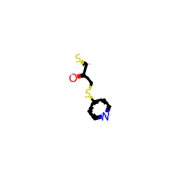 O=C([C]=S)CSc1ccncc1